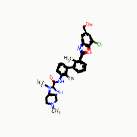 Cc1c(-c2nc3cc(CO)cc(Cl)c3o2)cccc1-c1cccc(NC(=O)C2NC3=C(CCN(C)C3)N2C)c1C#N